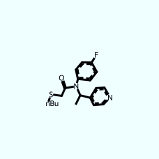 CCCCSCC(=O)N(c1ccc(F)cc1)C(C)c1ccncc1